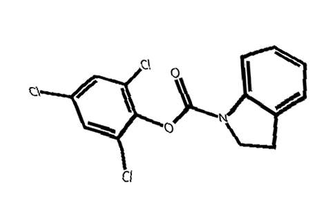 O=C(Oc1c(Cl)cc(Cl)cc1Cl)N1CCc2ccccc21